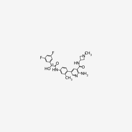 Cc1cc(NC(=O)[C@@H](O)c2cc(F)cc(F)c2)ccc1-c1cnc(N)c(C(=O)NC2CN(C)C2)c1